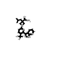 CC(C)CC1(C(N)=O)CN(c2ccc(C(F)(F)F)c(-c3n[nH]c4ncccc34)n2)C1